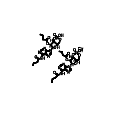 CCCC(=O)Nc1ncnc2c1ncn2[C@@H]1O[C@@H]2COP(=O)(O)O[C@H]2[C@H]1OC(=O)CCC.CCCC(=O)Nc1ncnc2c1ncn2[C@@H]1O[C@@H]2COP(=O)(O)O[C@H]2[C@H]1OC(=O)CCC.[Ca]